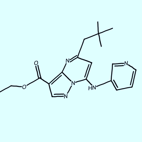 CCOC(=O)c1cnn2c(Nc3cccnc3)cc(CC(C)(C)C)nc12